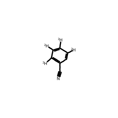 [2H]c1cc(C#N)c([2H])c([2H])c1[2H]